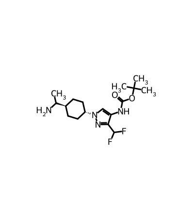 CC(N)[C@H]1CC[C@H](n2cc(NC(=O)OC(C)(C)C)c(C(F)F)n2)CC1